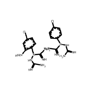 CCCCCCc1cc(Cl)ccc1N(NC(=N)N)C(=N)N.N=C(N)NN(C(=N)N)c1ccc(Cl)cc1